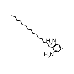 CCCCCCCCCCCCCCCc1c(N)c[c]cc1N